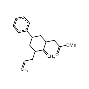 C=CCC1CC(c2ccccc2)CC(CC(=O)OC)C1=C